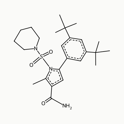 Cc1c(C(N)=O)cc(-c2cc(C(C)(C)C)cc(C(C)(C)C)c2)n1S(=O)(=O)N1CCCCC1